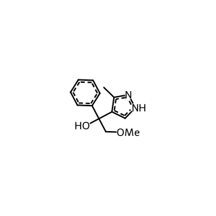 COCC(O)(c1ccccc1)c1c[nH]nc1C